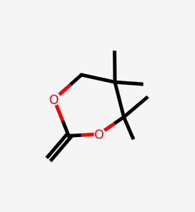 C=C1OCC(C)(C)C(C)(C)O1